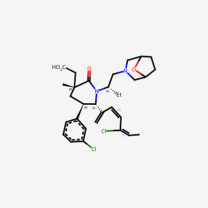 C=C(/C=C\C(Cl)=C/C)[C@@H]1[C@@H](c2cccc(Cl)c2)C[C@](C)(CC(=O)O)C(=O)N1[C@@H](CC)CN1CC2CCC(C1)O2